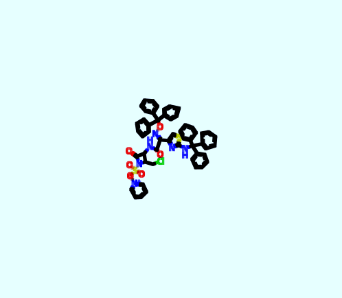 O=C(NC1C(=O)N(S(=O)(=O)O[n+]2ccccc2)C1CCl)C(=NOC(c1ccccc1)(c1ccccc1)c1ccccc1)c1csc(NC(c2ccccc2)(c2ccccc2)c2ccccc2)n1